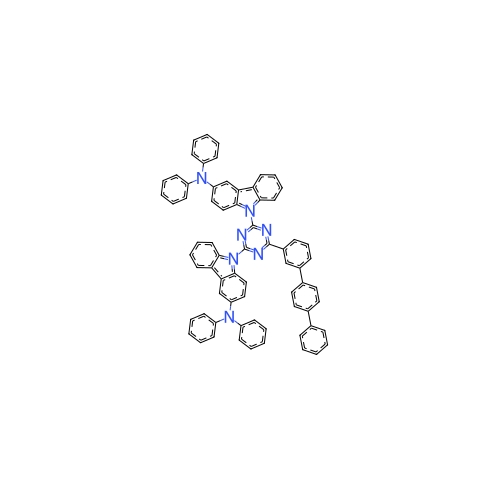 c1ccc(-c2ccc(-c3cccc(-c4nc(-n5c6ccccc6c6cc(N(c7ccccc7)c7ccccc7)ccc65)nc(-n5c6ccccc6c6cc(N(c7ccccc7)c7ccccc7)ccc65)n4)c3)cc2)cc1